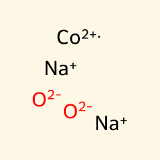 [Co+2].[Na+].[Na+].[O-2].[O-2]